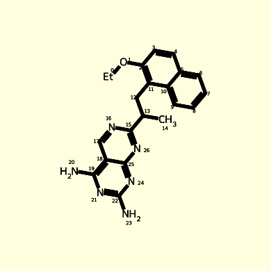 CCOc1ccc2ccccc2c1CC(C)c1ncc2c(N)nc(N)nc2n1